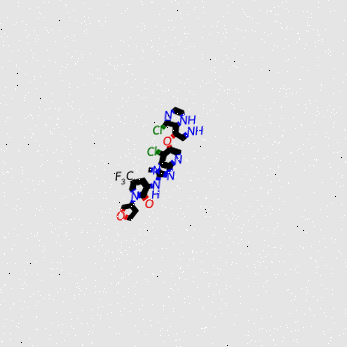 Cn1c(Nc2cc(C(F)(F)F)cn(C3CCOC3)c2=O)nc2ncc(O/C(C=N)=C3/NC=CN=C3Cl)c(Cl)c21